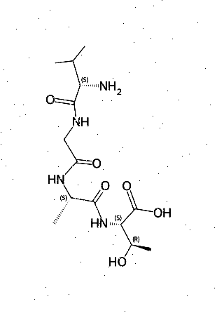 CC(C)[C@H](N)C(=O)NCC(=O)N[C@@H](C)C(=O)N[C@H](C(=O)O)[C@@H](C)O